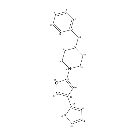 c1ccc(CC2CCN(c3cc(-c4cccs4)no3)CC2)cc1